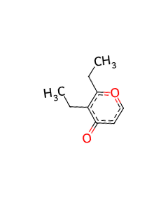 CCc1occc(=O)c1CC